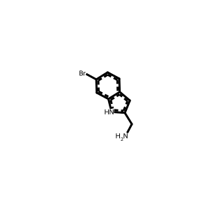 NCc1cc2ccc(Br)cc2[nH]1